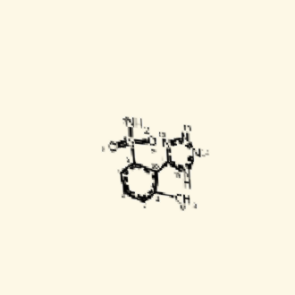 Cc1cccc(S(N)(=O)=O)c1-c1nnn[nH]1